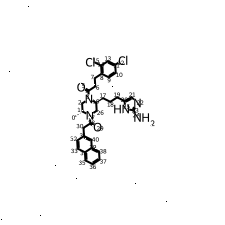 C[C@@H]1CN(C(=O)CCc2ccc(Cl)cc2Cl)[C@@H](CCCc2cnc(N)[nH]2)CN1C(=O)Cc1ccc2ccccc2c1